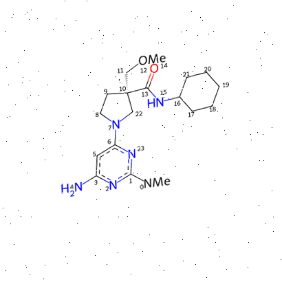 CNc1nc(N)cc(N2CC[C@@](COC)(C(=O)NC3CCCCC3)C2)n1